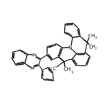 CC1(C)c2ccccc2N2c3ccc(-c4nc5ccccc5nc4-c4ccccc4)cc3C(C)(C)c3cccc1c32